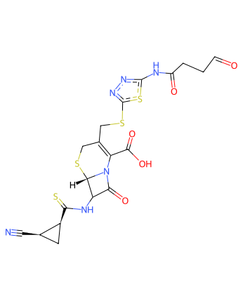 N#C[C@@H]1C[C@@H]1C(=S)NC1C(=O)N2C(C(=O)O)=C(CSc3nnc(NC(=O)CCC=O)s3)CS[C@@H]12